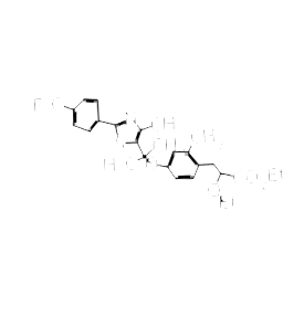 CCOC(=O)C(Cc1ccc(OC(C)(C)c2sc(-c3ccc(C(F)(F)F)cc3)nc2C)cc1C)OCC